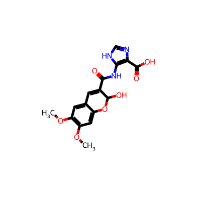 COc1cc2c(cc1OC)OC(O)C(C(=O)Nc1[nH]cnc1C(=O)O)=C2